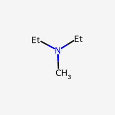 [CH2]CN(C)C[CH2]